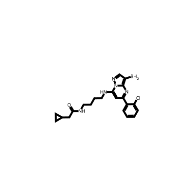 Bc1cnn2c(NCCCCNC(=O)CC3CC3)cc(-c3ccccc3Cl)nc12